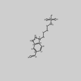 CS(=O)(=O)OCCCCn1nnc2cc(C=O)ccc21